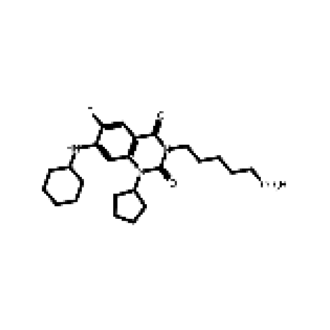 O=C(O)CCCCCn1c(=O)c2cc(F)c(NC3CCCCC3)cc2n(C2CCCC2)c1=O